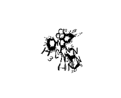 C[C@H](Nc1ncnc2nccnc12)c1cc2cccc(Cl)c2c(=O)n1-c1ccccc1